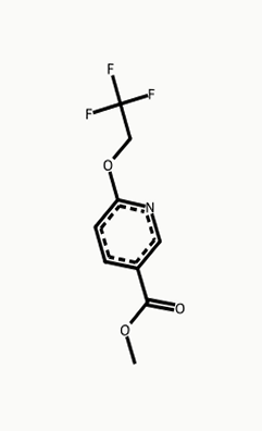 COC(=O)c1ccc(OCC(F)(F)F)nc1